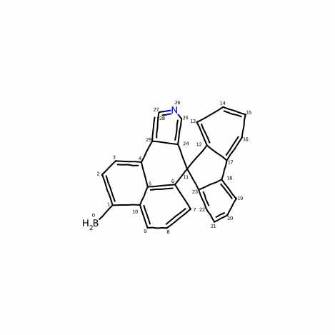 Bc1ccc2c3c(cccc13)C1(c3ccccc3-c3ccccc31)c1cnccc1-2